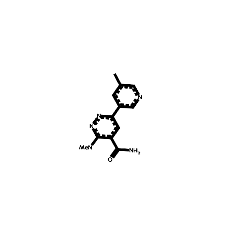 CNc1nnc(-c2cncc(C)c2)cc1C(N)=O